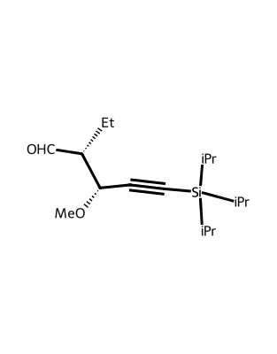 CC[C@@H](C=O)[C@H](C#C[Si](C(C)C)(C(C)C)C(C)C)OC